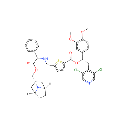 COc1ccc([C@H](Cc2c(Cl)cncc2Cl)OC(=O)c2ccc(CNC(C(=O)OC[C@@H]3C[C@H]4CC[C@@H](C3)N4C)c3ccccc3)s2)cc1OC